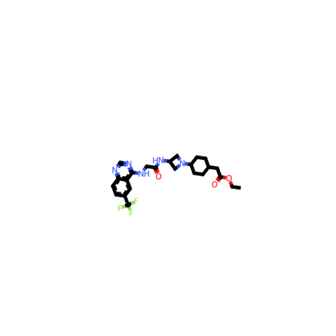 CCOC(=O)CC1CCC(N2CC(NC(=O)CNc3ncnc4ccc(C(F)(F)F)cc34)C2)CC1